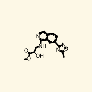 COC(=O)[C@@H](O)CNc1nccc2ccc(-c3noc(C)n3)cc12